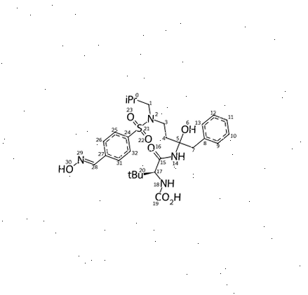 CC(C)CN(CCC(O)(Cc1ccccc1)NC(=O)[C@@H](NC(=O)O)C(C)(C)C)S(=O)(=O)c1ccc(/C=N/O)cc1